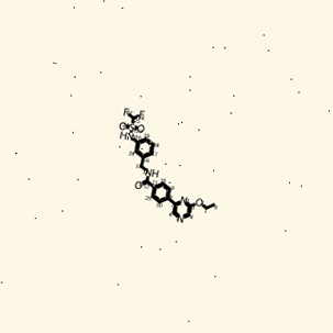 CCOc1cncc(-c2ccc(C(=O)NCc3cccc(NS(=O)(=O)C(F)F)c3)cc2)n1